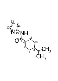 CC(C)[C@H]1CC[C@@H](C(=O)Nc2nccs2)CC1